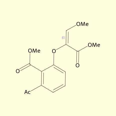 CO/C=C(/Oc1cccc(C(C)=O)c1C(=O)OC)C(=O)OC